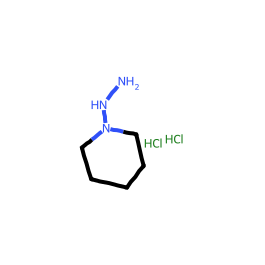 Cl.Cl.NNN1CCCCC1